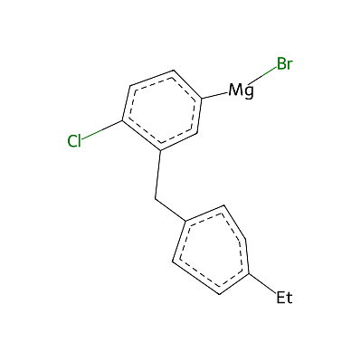 CCc1ccc(Cc2c[c]([Mg][Br])ccc2Cl)cc1